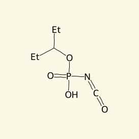 CCC(CC)OP(=O)(O)N=C=O